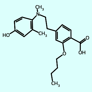 CCCCOc1cc(CCN(C)c2ccc(O)cc2C)ccc1C(=O)O